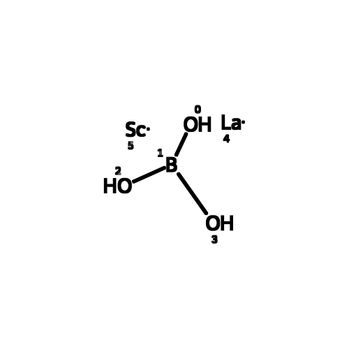 OB(O)O.[La].[Sc]